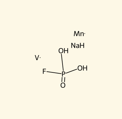 O=P(O)(O)F.[Mn].[NaH].[V]